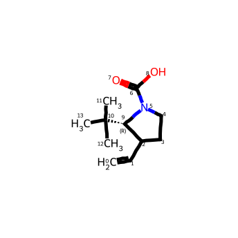 C=CC1CCN(C(=O)O)[C@H]1C(C)(C)C